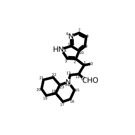 CC(c1c[nH]c2ncccc12)C(C=O)CN1CCCC2CCCCC21